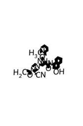 C=CC(=O)N1CCN(c2cc(C(=O)Nc3cc(O)cc4ccccc34)nc(OCC3CCCCN3C)n2)C[C@@H]1CC#N